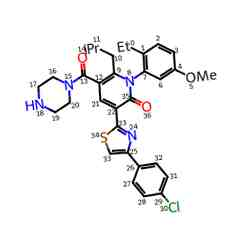 CCc1ccc(OC)cc1-n1c(CC(C)C)c(C(=O)N2CCNCC2)cc(-c2nc(-c3ccc(Cl)cc3)cs2)c1=O